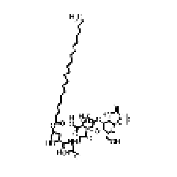 CCCCCCCCCCCCCCCCCCCCCC(=O)OC1CN[C@H](C(=O)N[C@H](CCC(=O)N(CC(C)O[C@H]2[C@H](O)[C@@H](CO)O[C@H](O)[C@@H]2NC(C)=O)[C@@H](C)C(=O)O)C(N)=O)C1